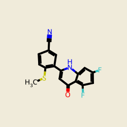 CSc1ccc(C#N)cc1-c1cc(=O)c2c(F)cc(F)cc2[nH]1